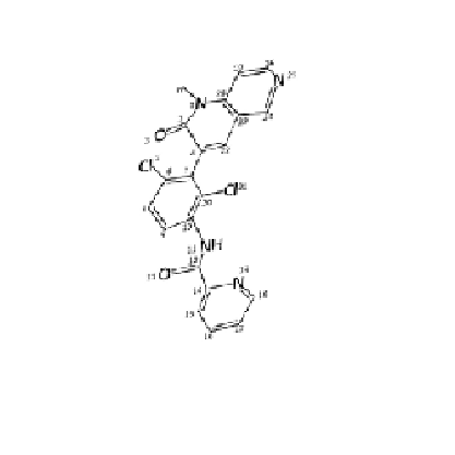 Cn1c(=O)c(-c2c(Cl)ccc(NC(=O)c3ccccn3)c2Cl)cc2cnccc21